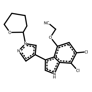 N#CCOc1cc(Cl)c(Cl)c2[nH]cc(-c3cnn(C4CCCCO4)c3)c12